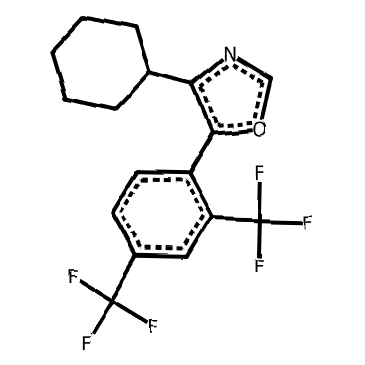 FC(F)(F)c1ccc(-c2ocnc2C2CCCCC2)c(C(F)(F)F)c1